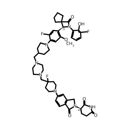 COc1cc(N2CCC(CN3CCN(CC4(F)CCN(c5ccc6c(c5)CN([C@@H]5CCC(=O)NC5=O)C6=O)CC4)CC3)CC2)c(F)cc1[C@@H]1N(c2cccc(F)c2O)C(=O)C12CCCC2